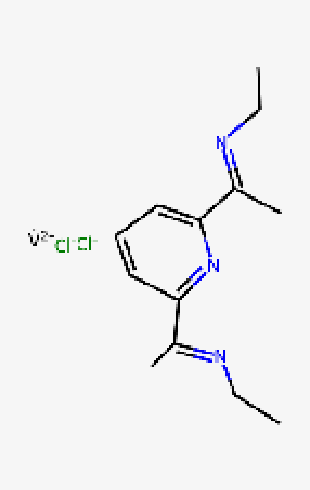 CCN=C(C)c1cccc(C(C)=NCC)n1.[Cl-].[Cl-].[V+2]